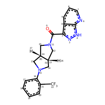 O=C(c1n[nH]c2ncccc12)N1C[C@@H]2CN(c3ccccc3C(F)(F)F)C[C@@H]2C1